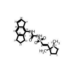 CN1CCC[C@]1(C)/C=C/S(=O)(=O)NC(=O)Nc1c2c(cc3c1CCC3)C=CC2